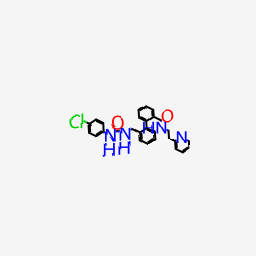 O=C(NCc1ccccc1-c1ccccc1C(=O)NCCc1ccccn1)Nc1ccc(Cl)cc1